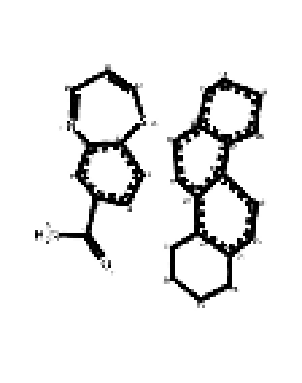 NC(=O)c1ccc2c(c1)N=CC=CS2.c1ccc2c(c1)ccc1c3c(ccc12)CCCC3